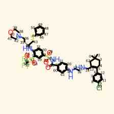 CC1(C)CCC(c2ccc(Cl)cc2)=C(CNCCNc2ccc(C(=O)NS(=O)(=O)c3ccc(N[C@H](CCN4CCOCC4)CSc4ccccc4)c(S(=O)(=O)C(F)(F)F)c3)cc2)C1